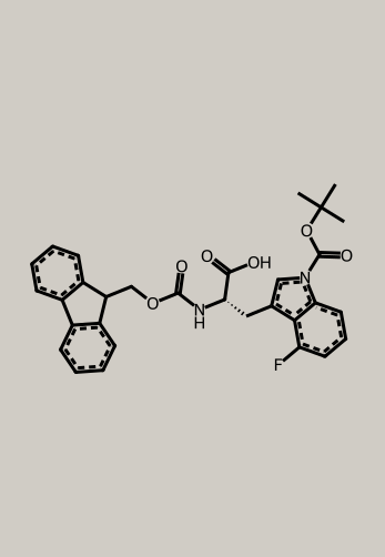 CC(C)(C)OC(=O)n1cc(C[C@H](NC(=O)OCC2c3ccccc3-c3ccccc32)C(=O)O)c2c(F)cccc21